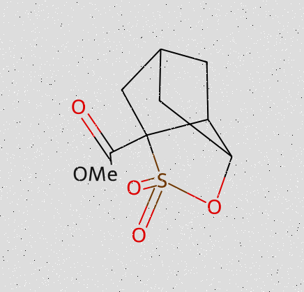 COC(=O)C12CC3CC(OS1(=O)=O)C2C3